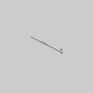 CCCCCCCCCOCOC=CCCCCCCCCCC(OC)OC